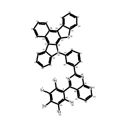 [2H]c1c([2H])c([2H])c(-c2nc(-c3cccc(-n4c5ccccc5c5c6ccccc6c6c7ccccc7sc6c54)c3)nc3ncccc23)c([2H])c1[2H]